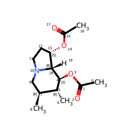 CC(=O)O[C@H]1[C@H](C)[C@@H](C)CN2CC[C@H](OC(C)=O)[C@H]12